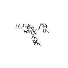 C=Cc1nccn1CC#CCCc1nc(Nc2cc(C)n[nH]2)cc(N2CCN(C)CC2)n1